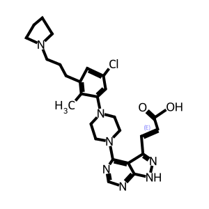 Cc1c(CCCN2CCCC2)cc(Cl)cc1N1CCN(c2ncnc3[nH]nc(/C=C/C(=O)O)c23)CC1